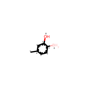 Bc1ccc(C)cc1O